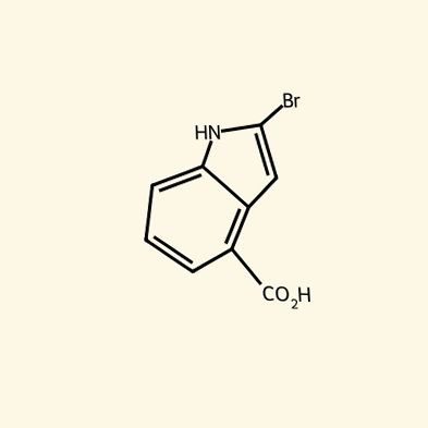 O=C(O)c1cccc2[nH]c(Br)cc12